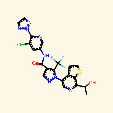 CC(O)c1ncc(-n2ncc(C(=O)Nc3cnc(-n4nccn4)c(Cl)c3)c2C(F)(F)F)c2ccsc12